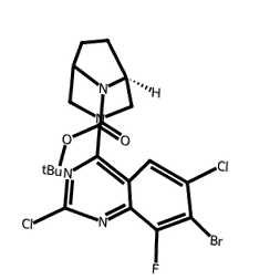 CC(C)(C)OC(=O)N1C2CC[C@H]1CN(c1nc(Cl)nc3c(F)c(Br)c(Cl)cc13)C2